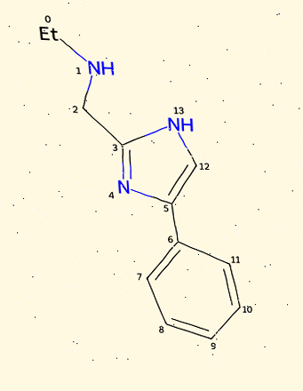 CCNCc1nc(-c2ccccc2)c[nH]1